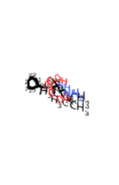 CC(C)(C)OC(=O)C(C)(CN)C(N)(C(=O)O)C(=O)OCc1ccccc1